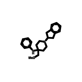 COCC1(Nc2ccccc2)CCN(C2Cc3ccccc3C2)CC1